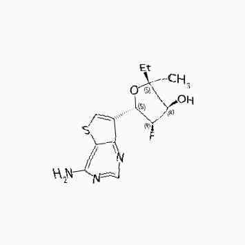 CC[C@]1(C)O[C@@H](c2csc3c(N)ncnc23)[C@H](F)[C@@H]1O